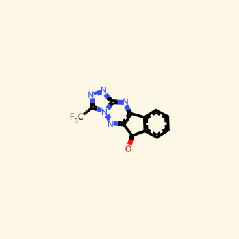 O=C1c2ccccc2-c2nc3nnc(C(F)(F)F)n3nc21